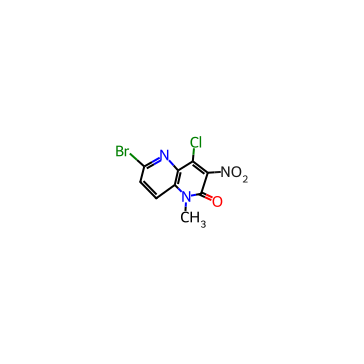 Cn1c(=O)c([N+](=O)[O-])c(Cl)c2nc(Br)ccc21